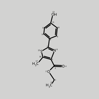 CCOC(=O)c1nc(-c2ccc(O)cc2)sc1C